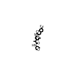 Cc1cc(C(C)C(=O)NC2CCOCC2)cc2nc(C(F)(F)F)c(CC3CCC(F)(F)CC3)n12